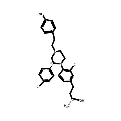 C[C@@H](O)CCc1ccc(N2CCN(CCc3ccc(C#N)cc3)C[C@H]2c2ccc(Cl)cc2)c(Cl)c1